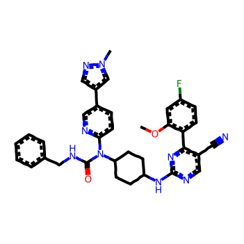 COc1cc(F)ccc1-c1nc(NC2CCC(N(C(=O)NCc3ccccc3)c3ccc(-c4cnn(C)c4)cn3)CC2)ncc1C#N